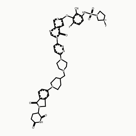 N#Cc1c(NS(=O)(=O)N2CC[C@@H](F)C2)ccc(F)c1Oc1ccc2ncn(-c3ccc(N4CCN(CC5CCN(c6ccc7c(c6)CN(C6CCC(=O)NC6=O)C7=O)CC5)CC4)nn3)c(=O)c2c1